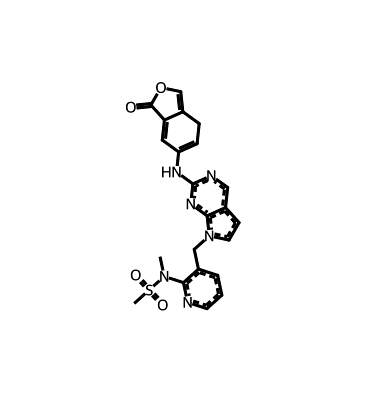 CN(c1ncccc1Cn1ccc2cnc(NC3=CCC4=COC(=O)C4=C3)nc21)S(C)(=O)=O